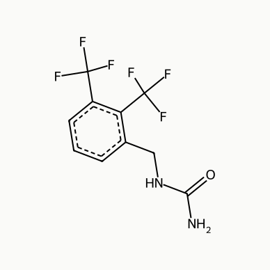 NC(=O)NCc1cccc(C(F)(F)F)c1C(F)(F)F